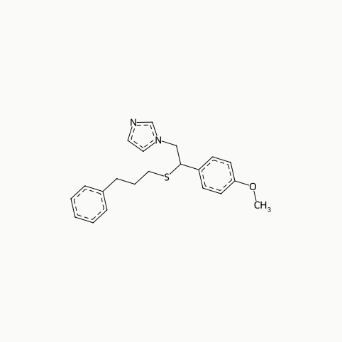 COc1ccc(C(Cn2ccnc2)SCCCc2ccccc2)cc1